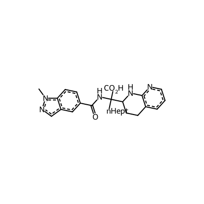 CCCCCCCC(NC(=O)c1ccc2c(cnn2C)c1)(C(=O)O)C1CCc2cccnc2N1